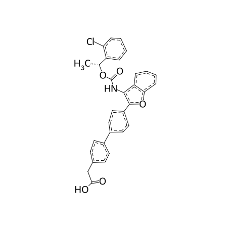 C[C@@H](OC(=O)Nc1c(-c2ccc(-c3ccc(CC(=O)O)cc3)cc2)oc2ccccc12)c1ccccc1Cl